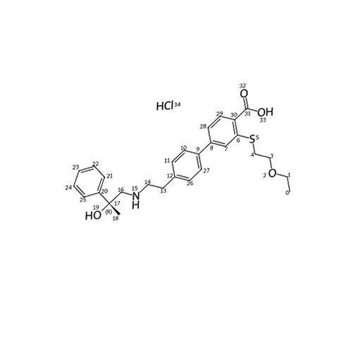 CCOCCSc1cc(-c2ccc(CCNC[C@](C)(O)c3ccccc3)cc2)ccc1C(=O)O.Cl